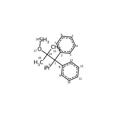 CC(C)C(c1ccccc1)(c1ccccc1)C(C)(C)O[SiH3]